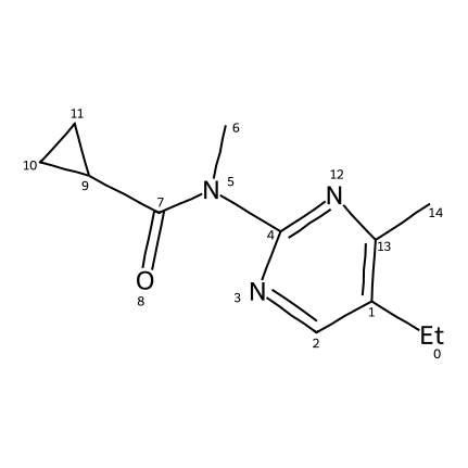 CCc1cnc(N(C)C(=O)C2CC2)nc1C